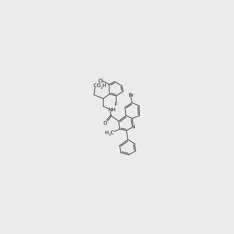 Cc1c(-c2ccccc2)nc2ccc(Br)cc2c1C(=O)NCC(CC(=O)O)c1c(F)cccc1Cl